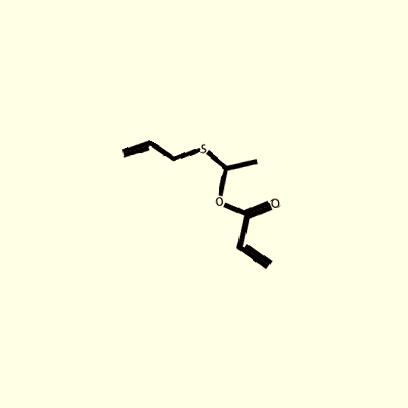 C=CCSC(C)OC(=O)C=C